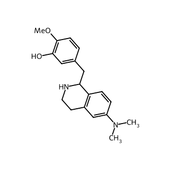 COc1ccc(CC2NCCc3cc(N(C)C)ccc32)cc1O